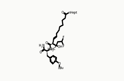 CCCCCCCC(=O)CCCCCC/C=C/[C@H](C(=O)N[C@@H](Cc1ccc(OCCCC)cc1)C(N)=O)[C@@](O)(CC(F)F)C(=O)O